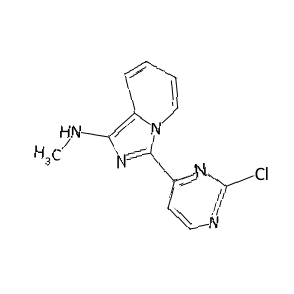 CNc1nc(-c2ccnc(Cl)n2)n2ccccc12